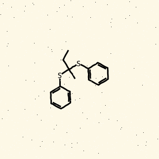 C[CH]C(C)(Sc1ccccc1)Sc1ccccc1